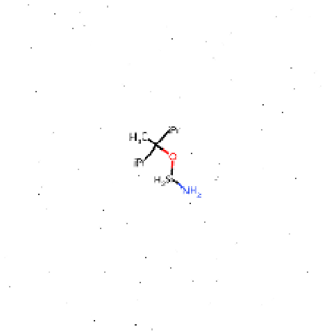 CC(C)C(C)(O[SiH2]N)C(C)C